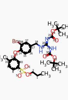 CCCOS(=O)(=O)c1ccc(C)c(Oc2ccc(CNC(=NC(=O)OC(C)(C)C)NC(=O)OC(C)(C)C)cc2Br)c1